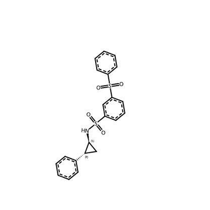 O=S(=O)(N[C@H]1C[C@@H]1c1ccccc1)c1cccc(S(=O)(=O)c2ccccc2)c1